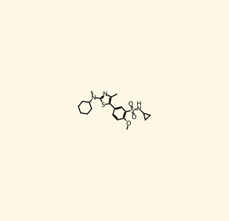 COc1ccc(-c2sc(N(C)C3CCCCC3)nc2C)cc1S(=O)(=O)NC1CC1